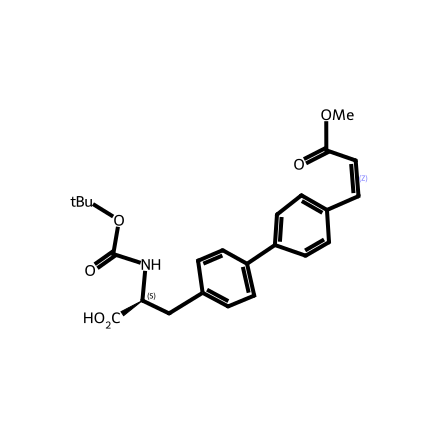 COC(=O)/C=C\c1ccc(-c2ccc(C[C@H](NC(=O)OC(C)(C)C)C(=O)O)cc2)cc1